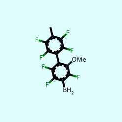 Bc1c(F)c(F)c(-c2c(F)c(F)c(C)c(F)c2F)c(OC)c1F